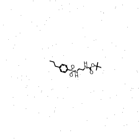 CCCc1ccc(S(=O)(=O)NCCNC(=O)OC(C)(C)C)cc1